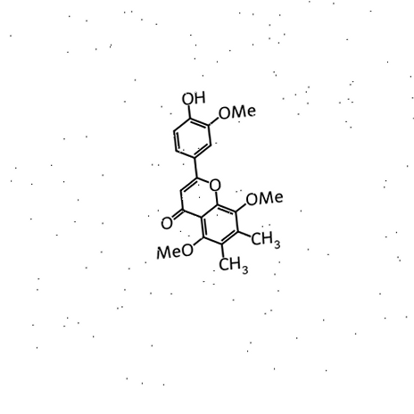 COc1cc(-c2cc(=O)c3c(OC)c(C)c(C)c(OC)c3o2)ccc1O